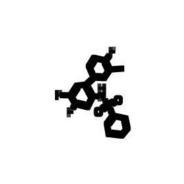 Cc1cc(-c2cc(F)c(F)cc2NS(=O)(=O)c2ccccc2)ccc1F